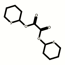 O=C(OC1CCCCS1)C(=O)OC1CCCCS1